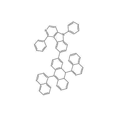 C1=CC2=C(c3cccc4ccccc34)c3ccc(-c4ccc5c(c4)c4c(-c6ccccc6)nccc4n5-c4ccccc4)cc3C(c3cccc4ccccc34)C2C=C1